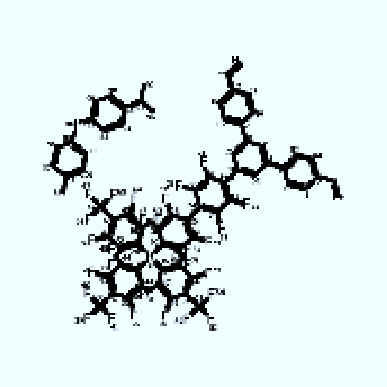 C=Cc1ccc(-c2cc(-c3ccc(C=C)cc3)cc(-c3c(F)c(F)c(-c4c(F)c(F)c([B-](c5c(F)c(F)c(C(F)(F)F)c(F)c5F)(c5c(F)c(F)c(C(F)(F)F)c(F)c5F)c5c(F)c(F)c(C(F)(F)F)c(F)c5F)c(F)c4F)c(F)c3F)c2)cc1.Cc1ccc([I+]c2ccc(C(C)C)cc2)cc1